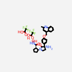 Cc1cc(COc2ccc([C@@]3(N)CCN([C@@H]4CCC[C@H]4C(=O)NO)C3=O)cc2)c2ccccc2n1.O=C(O)C(F)(F)F.O=C(O)C(F)(F)F